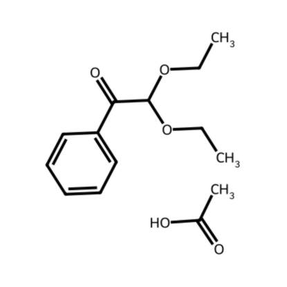 CC(=O)O.CCOC(OCC)C(=O)c1ccccc1